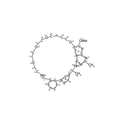 COc1cc2nc(C)nc3c2cc1OCCCCOCCOCCOCCNCc1ccccc1-c1ccc(s1)C(C)N3